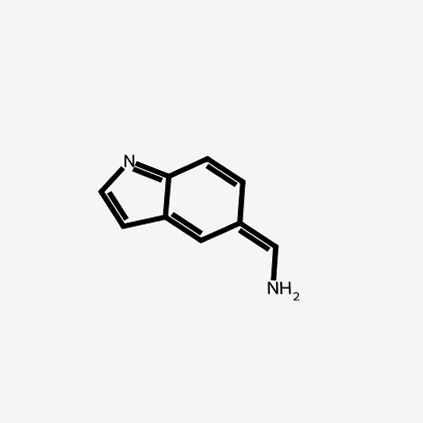 NC=c1ccc2c(c1)C=CN=2